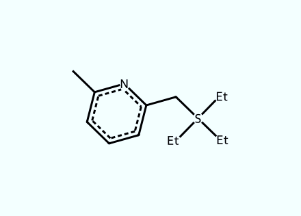 CCS(CC)(CC)Cc1cccc(C)n1